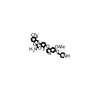 COc1cc2c(Oc3ccc(N(Cc4cccc(C(F)(F)F)c4F)C(=O)C(N)=O)cc3F)ccnc2cc1OCC1CCNCC1